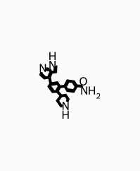 NC(=O)c1ccc(-c2cc(-c3ccnc4[nH]ccc34)ccc2C2CCNCC2)cc1